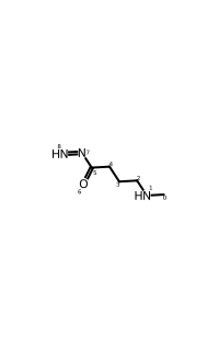 CNCCCC(=O)N=N